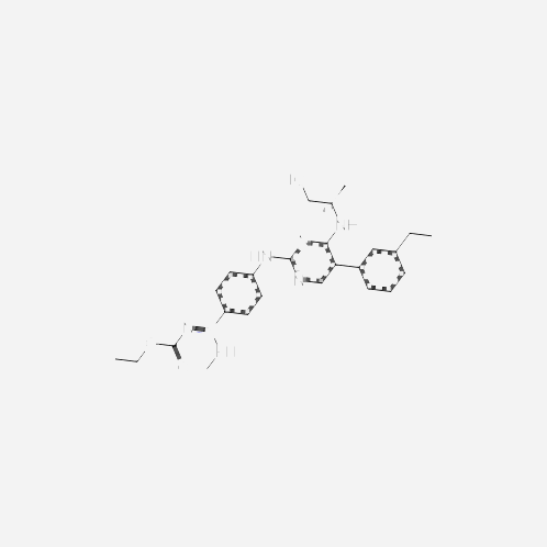 CCOC(=O)/N=S(\PC)c1ccc(Nc2ncc(-c3cccc(CC)c3)c(N[C@H](C)CO)n2)cc1